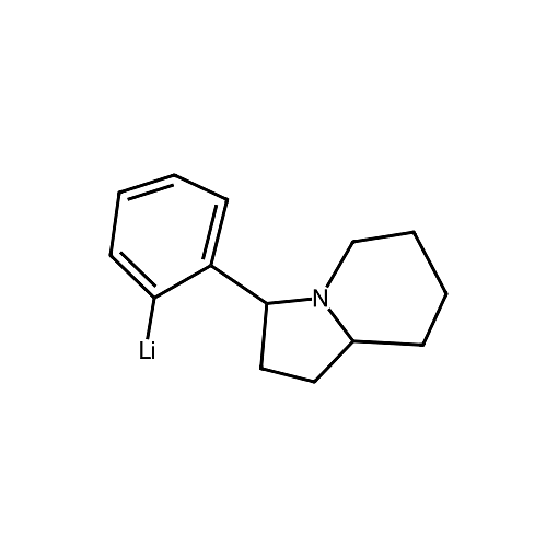 [Li][c]1ccccc1C1CCC2CCCCN21